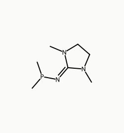 CN1CCN(C)C1=NP(C)C